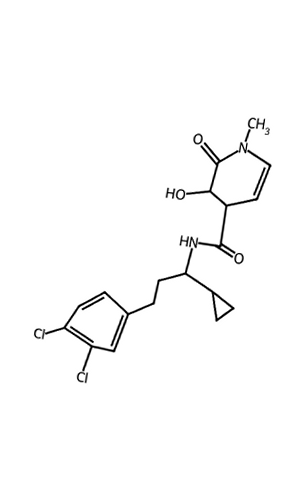 CN1C=CC(C(=O)NC(CCc2ccc(Cl)c(Cl)c2)C2CC2)C(O)C1=O